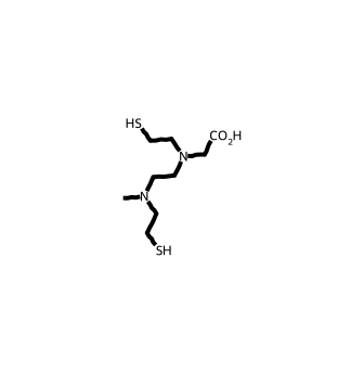 CN(CCS)CCN(CCS)CC(=O)O